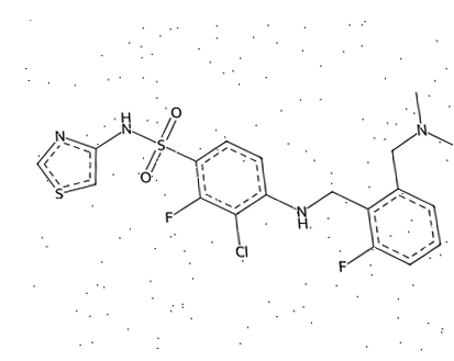 CN(C)Cc1cccc(F)c1CNc1ccc(S(=O)(=O)Nc2cscn2)c(F)c1Cl